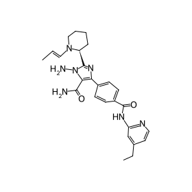 CC=CN1CCCC[C@H]1c1nc(-c2ccc(C(=O)Nc3cc(CC)ccn3)cc2)c(C(N)=O)n1N